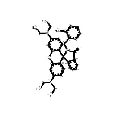 CCN(CC)c1ccc2c(c1)Oc1cc(N(CC)CC)ccc1C21c2ccccc2C(=O)N1Cc1ccccc1N